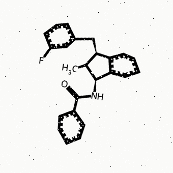 CC1[C@H](NC(=O)c2ccccc2)c2ccccc2[C@@H]1Cc1cccc(F)c1